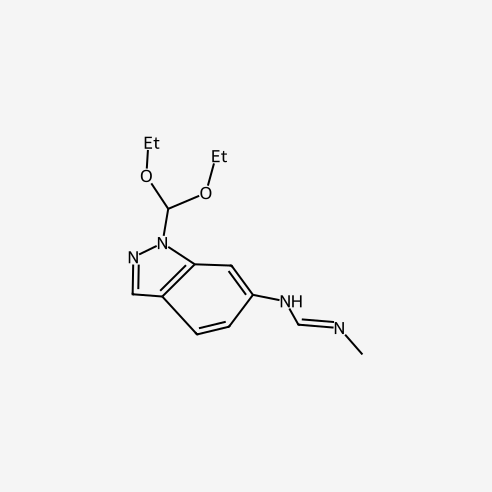 CCOC(OCC)n1ncc2ccc(NC=NC)cc21